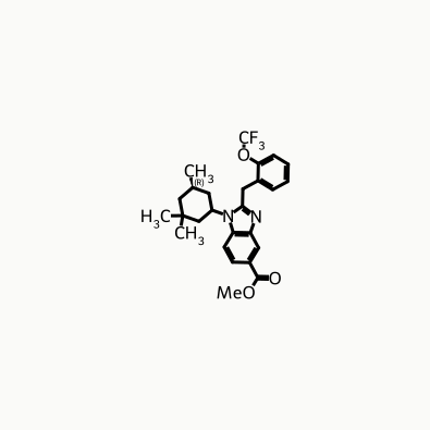 COC(=O)c1ccc2c(c1)nc(Cc1ccccc1OC(F)(F)F)n2C1C[C@H](C)CC(C)(C)C1